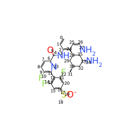 C=C/C(NC(=O)c1ccc(F)c(-c2c(F)cc([S@@+](C)[O-])cc2F)n1)=C(\C=C/N)[C@@H]1C[C@H](C)C[C@H](N)C1